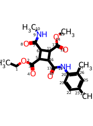 CCOC(=O)C1C(C(=O)NC)C(C(=O)OC)C1C(=O)Nc1ccc(C)cc1C